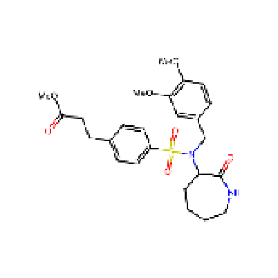 COC(=O)CCc1ccc(S(=O)(=O)N(Cc2ccc(OC)c(OC)c2)C2CCCCNC2=O)cc1